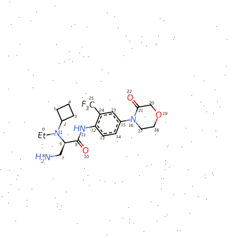 CCN(C1CCC1)[C@H](CN)C(=O)Nc1ccc(N2CCOCC2=O)cc1C(F)(F)F